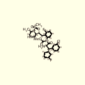 COC(=O)N(C(=O)[C@@H](N)[C@H](c1cccc(F)c1)c1cccc(Cl)c1)c1cccc(F)c1CC[C@H]1CNC[C@@H](C)N1S(C)(=O)=O